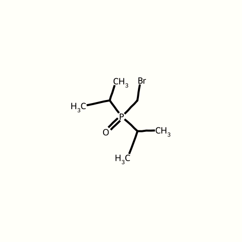 CC(C)P(=O)(CBr)C(C)C